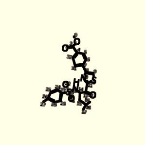 COC(=O)c1ccc(-c2csc(C(=O)C(CC(C)C)NS(=O)(=O)c3ccc(C)cc3)n2)cc1